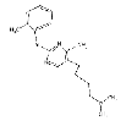 Cc1ccccc1Nc1ncc(CCCCN(C)C)c(N)n1